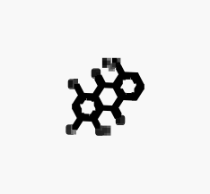 Nc1cccc2c1C(=O)c1c(Cl)cc(Cl)c(O)c1C2=O